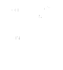 CCCN1CCc2c([nH]c3ccccc23)C(CO)C1